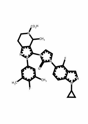 Cc1cc(-n2nc3c(c2-n2ccn(-c4ccc5c(cnn5C5CC5)c4F)c2=O)C(C)N(C(=O)O)CC3)cc(C)c1F